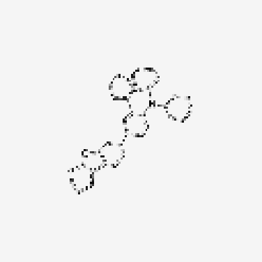 c1ccc(-c2cc(-c3ccc4c(c3)oc3ccccc34)ccc2N(c2ccccc2)c2ccccc2)cc1